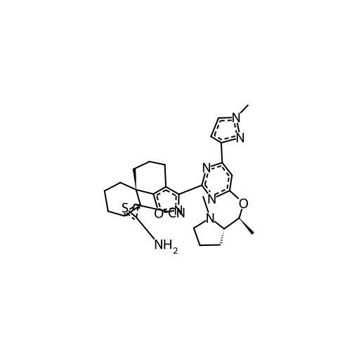 C[C@H](Oc1cc(-c2ccn(C)n2)nc(-c2noc3c2CCC[C@@]32CCCc3sc(N)c(C#N)c32)n1)[C@@H]1CCCN1C